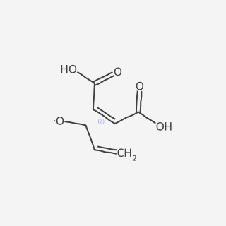 C=CC[O].O=C(O)/C=C\C(=O)O